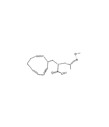 CO/N=C(/C)CC(CC1C=CCC/C=C\C=C/1)C(=O)O